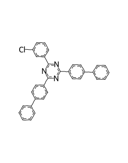 Clc1cccc(-c2nc(-c3ccc(-c4ccccc4)cc3)nc(-c3ccc(-c4ccccc4)cc3)n2)c1